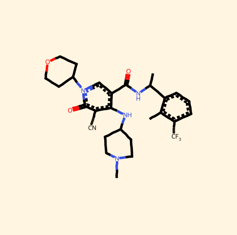 Cc1c(C(C)NC(=O)c2cn(C3CCOCC3)c(=O)c(C#N)c2NC2CCN(C)CC2)cccc1C(F)(F)F